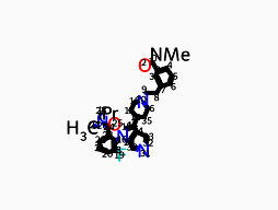 CNC(=O)c1cccc(CCN2CCC(c3cn(-c4c(F)cccc4C(=O)N(C)C(C)C)c4cnccc34)CC2)c1